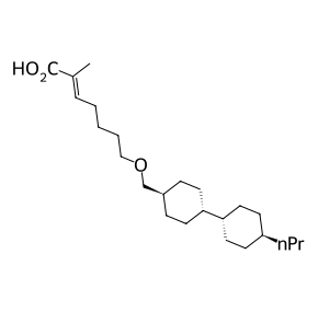 CCC[C@H]1CC[C@H]([C@H]2CC[C@H](COCCCCC=C(C)C(=O)O)CC2)CC1